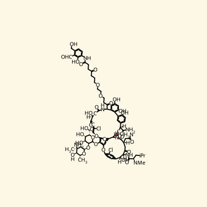 CN[C@H](CC(C)C)C(=O)N[C@H]1C(=O)C[C@@H](CC(N)=O)C(=O)N[C@H]2C(=O)C[C@@H](C(N)=O)c3ccc(O)c(c3)-c3c(O)cc(O)cc3C(C(=O)CCOCCOCCCC(=O)CCC(=O)Nc3ccc(CO)c(C=O)c3O)NC(=O)C[C@H](O)c3ccc(c(Cl)c3)Oc3cc2cc(c3OC2O[C@@H](CO)[C@@H](O)[C@H](O)[C@@H]2O[C@@H]2C[C@](C)(N)[C@H](O)[C@@H](C)O2)Oc2ccc(cc2Cl)[C@H]1O